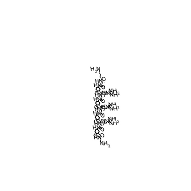 COc1ccc(NC(=O)[C@@H](CCCNC(=N)N)NC(=O)c2cc(NC(=O)[C@@H](CCCNC(=N)N)NC(=O)c3cc(NC(=O)[C@@H](CCCNC(=N)N)NC(=O)c4cc(NC(=O)[C@@H](C)NC(=O)CCCCN)ccc4OC)ccc3OC)ccc2OC)cc1C(=O)NCCN